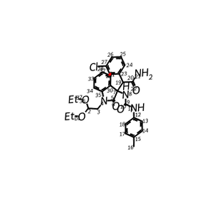 CCOC(CN1C(=O)C(NC(=O)Nc2ccc(C)cc2)(C(C(N)=O)c2cccc(Cl)c2)c2ccccc21)OCC